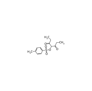 CCC(=O)C(OS(=O)(=O)c1ccc(C)cc1)C(=O)CC